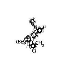 Cc1cc(Cl)ccc1C[C@@H](NC(=O)OC(C)(C)C)C(=O)N1CCC(c2ccc(I)cc2OCCN2CCCC2)CC1